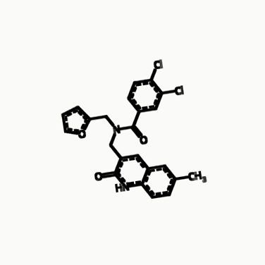 Cc1ccc2[nH]c(=O)c(CN(Cc3ccco3)C(=O)c3ccc(Cl)c(Cl)c3)cc2c1